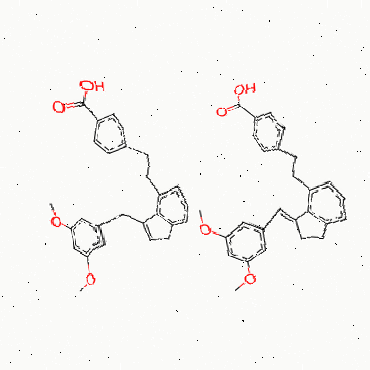 COc1cc(/C=C2\CCc3cccc(CCc4ccc(C(=O)O)cc4)c32)cc(OC)c1.COc1cc(CC2=CCc3cccc(CCc4ccc(C(=O)O)cc4)c32)cc(OC)c1